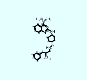 CC(CNC[C@H]1CC[C@@H](Nc2nc(N(C)C)c3ccccc3n2)CC1)Cc1ccccc1